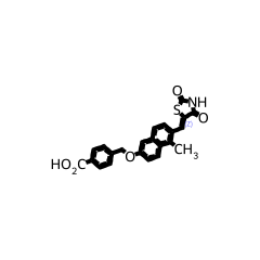 Cc1c(/C=C2\SC(=O)NC2=O)ccc2cc(OCc3ccc(C(=O)O)cc3)ccc12